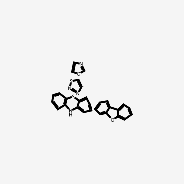 [c]1cccc2c1Nc1ccccc1S2.[c]1csnn1.[c]1ncco1.c1ccc2c(c1)oc1ccccc12